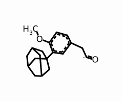 COc1ccc(C[C]=O)cc1C12CC3CC(CC(C3)C1)C2